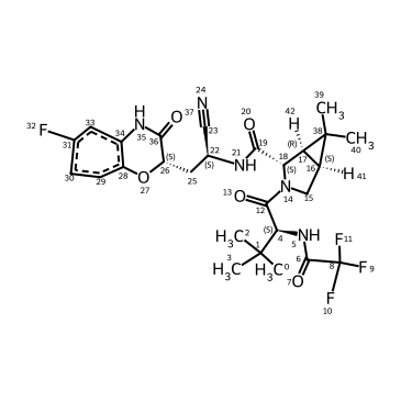 CC(C)(C)[C@H](NC(=O)C(F)(F)F)C(=O)N1C[C@H]2[C@@H]([C@H]1C(=O)N[C@H](C#N)C[C@@H]1Oc3ccc(F)cc3NC1=O)C2(C)C